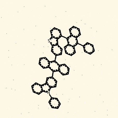 c1ccc(-c2c3ccccc3c(-c3cccc4sc5cc(-c6c7ccccc7c(-c7ccc8c(c7)c7ccccc7n8-c7ccccc7)c7ccccc67)ccc5c34)c3ccccc23)cc1